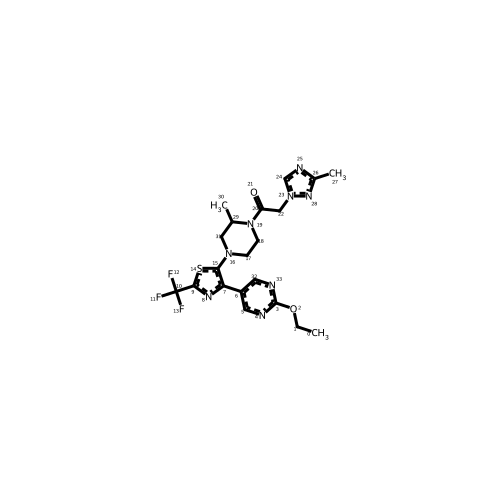 CCOc1ncc(-c2nc(C(F)(F)F)sc2N2CCN(C(=O)Cn3cnc(C)n3)C(C)C2)cn1